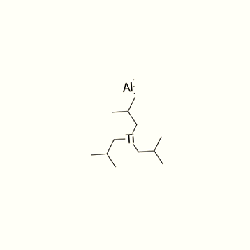 CC(C)[CH2][Ti]([CH2]C(C)C)[CH2]C(C)C.[Al]